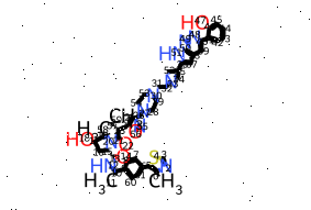 Cc1ncsc1-c1ccc([C@H](C)NC(=O)[C@@H]2C[C@@H](O)CN2C(=O)[C@@H](c2cc(N3CCN(CCN4CC(c5cc6cc(-c7ccccc7O)nnc6[nH]5)C4)CC3)no2)C(C)C)cc1